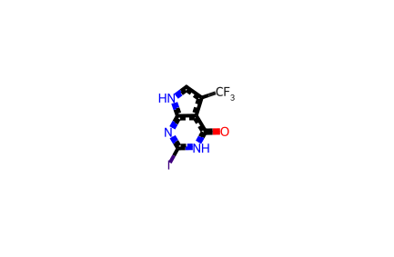 O=c1[nH]c(I)nc2[nH]cc(C(F)(F)F)c12